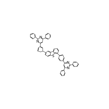 C1=CC(c2cc(-c3ccccc3)nc(-c3ccccc3)n2)=CC(c2ccc3sc4c(-c5ccc(-c6cc(-c7ccccc7)nc(-c7ccccc7)n6)cc5)cccc4c3c2)C1